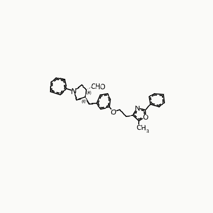 Cc1oc(-c2ccccc2)nc1CCOc1cccc(C[C@H]2CN(c3ccccc3)C[C@@H]2C=O)c1